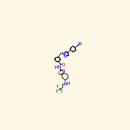 N#Cc1ccc(-c2cnn(Cc3cccc(C(=O)Nc4nc5c(s4)CC(NCCC(F)(F)F)CC5)c3)c2)cc1